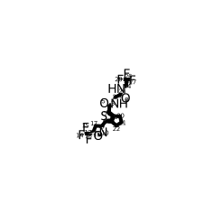 O=C(CNC(=O)c1sc(C2=NO[C@@H](C(F)(F)F)C2)c2c1CCC2)NCC(F)(F)F